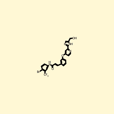 O=C(C=Cc1cccc(Oc2ccnc(-c3ncc(CO)[nH]3)c2)c1)Nc1ccc(Br)c(C(F)(F)F)c1